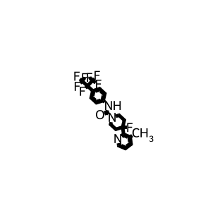 Cc1cccnc1C1(F)CCN(C(=O)Nc2ccc(C(F)(C(F)(F)F)C(F)(F)F)cc2)CC1